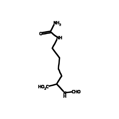 NC(=O)NCCCCC(NC=O)C(=O)O